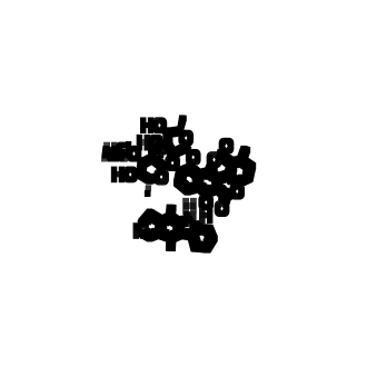 CO[C@@H]1[C@@H](N)[C@@H](O[C@H]2[C@H](Oc3cccc4c(O)c5c(=O)oc6ccc(C)c7c(=O)oc(c34)c5c67)O[C@H](C)[C@H](O)[C@]2(C)O)O[C@H](C)[C@@H]1O.Cc1c2ccncc2c(C)c2c1[nH]c1ccccc12.Cl